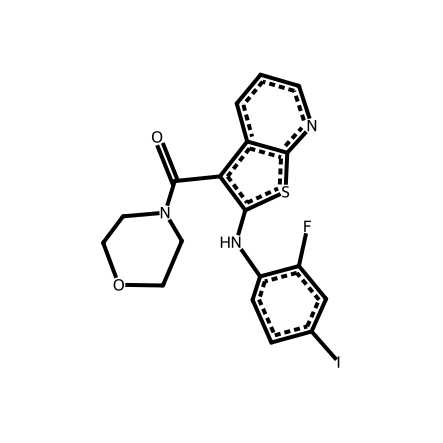 O=C(c1c(Nc2ccc(I)cc2F)sc2ncccc12)N1CCOCC1